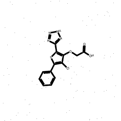 O=C(O)COc1c(-c2nn[nH]n2)sc(-c2ccccc2)c1Cl